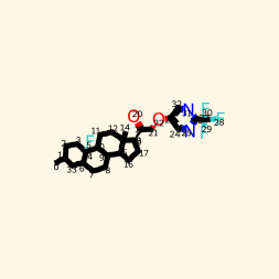 CC1CCC2(F)C(CCC3C2CCC2(C)C3CC[C@@H]2C(=O)COc2cnc(C(F)(F)F)nc2)C1